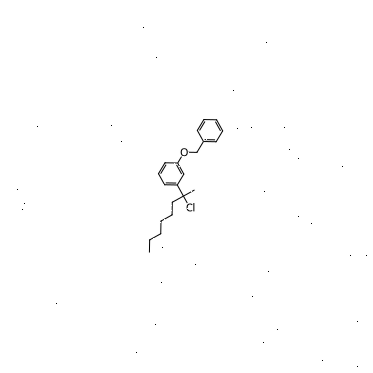 CCCCCCC(C)(Cl)c1cccc(OCc2ccccc2)c1